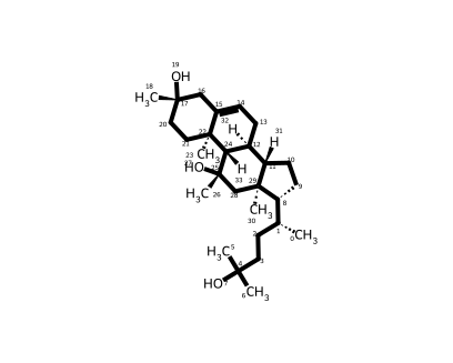 C[C@H](CCC(C)(C)O)[C@H]1CC[C@H]2[C@@H]3CC=C4C[C@@](C)(O)CC[C@]4(C)[C@H]3[C@@](C)(O)C[C@]12C